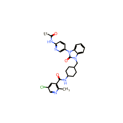 CCC(=O)Nc1ccc(-n2c(=O)n(CC3CCC(NC(=O)c4cc(Cl)cnc4C)CC3)c3ccccc32)cn1